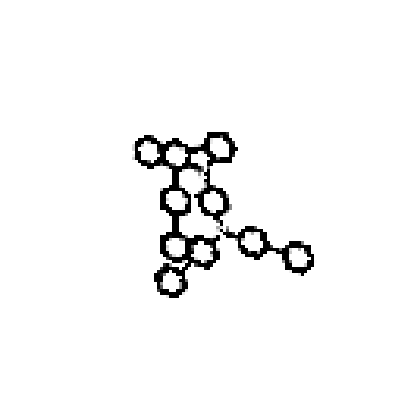 c1ccc(-c2ccc(-c3c4ccccc4cc4c5ccccc5n(-c5ccc(N(c6ccc(-c7ccccc7)cc6)c6ccc(-c7ccccc7)cc6)cc5)c34)cc2)cc1